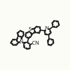 N#Cc1cccc(-n2c3ccccc3c3ccccc32)c1-c1ccc2sc3ccc(-c4cc(-c5ccccc5)cc(-c5ccccc5)n4)cc3c2c1